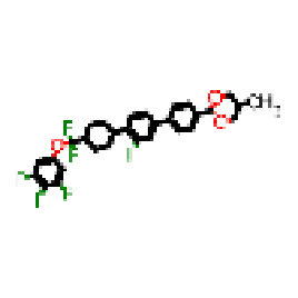 CC1COC(c2ccc(-c3ccc(C4CCC(C(F)(F)Oc5cc(F)c(F)c(F)c5)CC4)c(F)c3)cc2)OC1